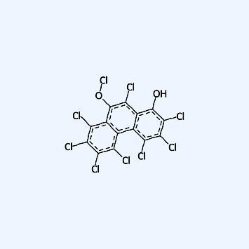 Oc1c(Cl)c(Cl)c(Cl)c2c1c(Cl)c(OCl)c1c(Cl)c(Cl)c(Cl)c(Cl)c12